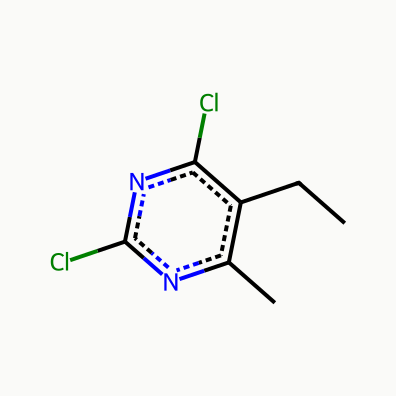 CCc1c(C)nc(Cl)nc1Cl